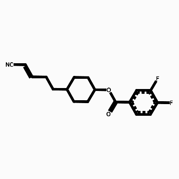 N#CC=CCCC1CCC(OC(=O)c2ccc(F)c(F)c2)CC1